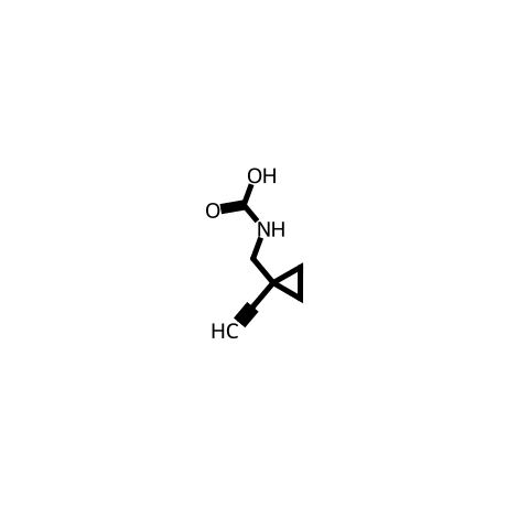 C#CC1(CNC(=O)O)CC1